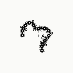 CCCC(Oc1ccc(C(=O)c2ccc(Oc3ccc(C(C)(C)c4ccc(OC(C)(CC)c5ccc(C(=O)c6ccc(Oc7ccc(N8C(=O)c9ccc(-c%10ccccc%10)cc9C8=O)cc7)cc6)cc5)cc4)cc3)cc2)cc1)c1ccc(N2C(=O)c3ccc(-c4ccccc4)cc3C2=O)cc1